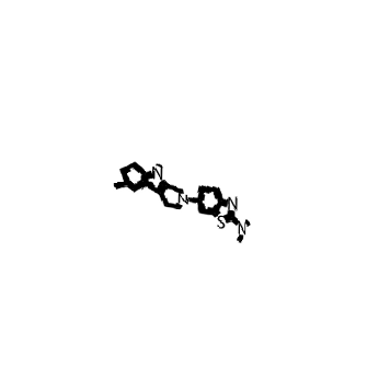 Cc1ccc2c(c1)c1c(n2C)CN(c2ccc3nc(N(C)C)sc3c2)CC1